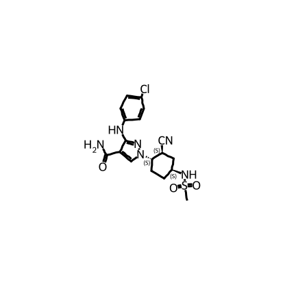 CS(=O)(=O)N[C@H]1CC[C@H](n2cc(C(N)=O)c(Nc3ccc(Cl)cc3)n2)[C@@H](C#N)C1